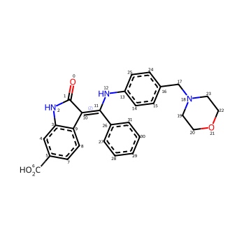 O=C1Nc2cc(C(=O)O)ccc2/C1=C(/Nc1ccc(CN2CCOCC2)cc1)c1ccccc1